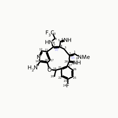 CN/C=C1/C/C(C=N)=C(/NCC(F)(F)F)c2cnc(N)c(c2)OC(C)c2cc(F)ccc2C1=N